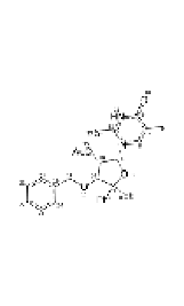 CCC1(CC)O[C@@H](n2cc(C)c(=O)[nH]c2=S)[C@@H](OC(C)=O)C1OCc1ccccc1